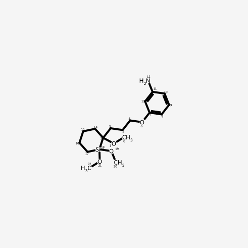 COC1(CCCOc2cccc(N)c2)CCCC[Si]1(OC)OC